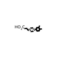 Cc1ccc(N2CCN(CCCC(=O)O)CC2)cc1C